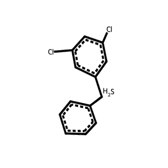 Clc1cc(Cl)cc(Cc2ccccc2)c1.S